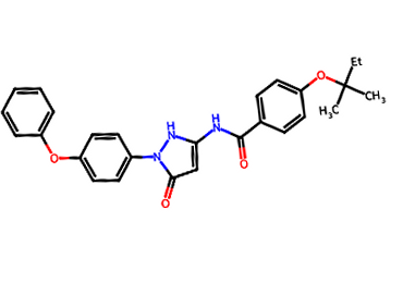 CCC(C)(C)Oc1ccc(C(=O)Nc2cc(=O)n(-c3ccc(Oc4ccccc4)cc3)[nH]2)cc1